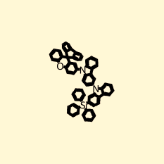 c1ccc([Si](c2ccccc2)(c2ccccc2)c2ccc3c4ccccc4n(-c4ccc5c(c4)c4ccccc4n5-c4ccc5c(c4)C4(c6ccccc6O5)c5ccccc5-c5ccccc54)c3c2)cc1